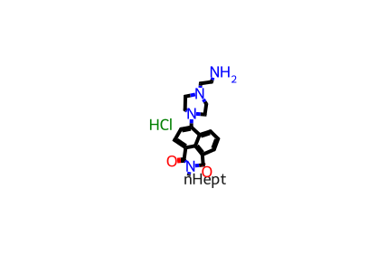 CCCCCCCN1C(=O)c2cccc3c(N4CCN(CCN)CC4)ccc(c23)C1=O.Cl